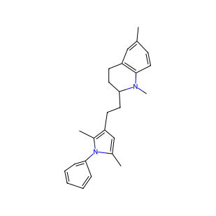 Cc1ccc2c(c1)CCC(CCc1cc(C)n(-c3ccccc3)c1C)N2C